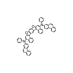 c1ccc(N(c2ccc3c(ccc4ccccc43)c2)c2cc3oc4cc5oc6cc(N(c7ccccc7)c7ccc8c(ccc9ccccc98)c7)c7ccccc7c6c5cc4c3c3ccccc23)cc1